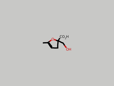 CC1=CCC(CO)(C(=O)O)O1